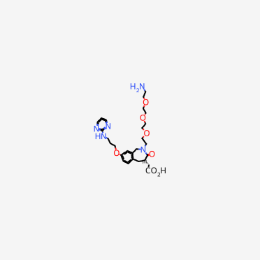 NCCOCCOCCOCCN1Cc2cc(OCCCNc3ncccn3)ccc2C[C@@H](CC(=O)O)C1=O